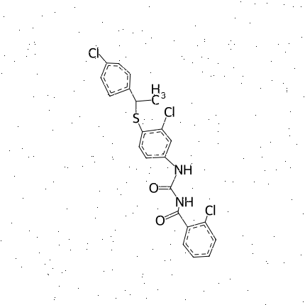 CC(Sc1ccc(NC(=O)NC(=O)c2ccccc2Cl)cc1Cl)c1ccc(Cl)cc1